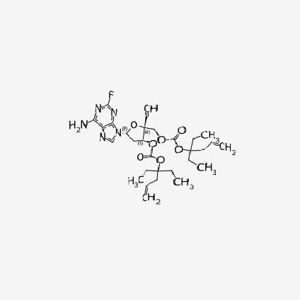 C#C[C@]1(COC(=O)OC(CC)(CC)CC=C)O[C@@H](n2cnc3c(N)nc(F)nc32)C[C@@H]1OC(=O)OC(CC)(CC)CC=C